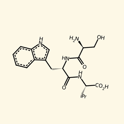 CC(C)[C@H](NC(=O)[C@H](Cc1c[nH]c2ccccc12)NC(=O)[C@@H](N)CO)C(=O)O